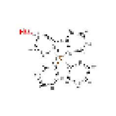 Oc1ccc(S(c2ccccc2)(c2ccccc2)c2ccccc2)cc1